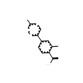 CNC(=O)c1ccc(-c2cnc(N)nn2)cc1F